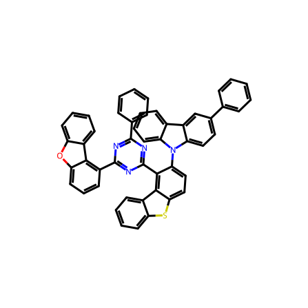 c1ccc(-c2ccc3c(c2)c2ccccc2n3-c2ccc3sc4ccccc4c3c2-c2nc(-c3ccccc3)nc(-c3cccc4oc5ccccc5c34)n2)cc1